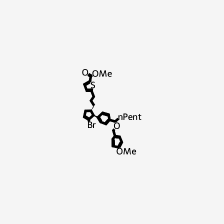 CCCCCC(OCc1ccc(OC)cc1)c1ccc([C@H]2C(Br)=CC[C@@H]2CCCc2ccc(C(=O)OC)s2)cc1